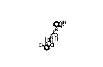 OC(CNCCNc1c(Cl)cccc1Cl)COc1cccc2[nH]ncc12